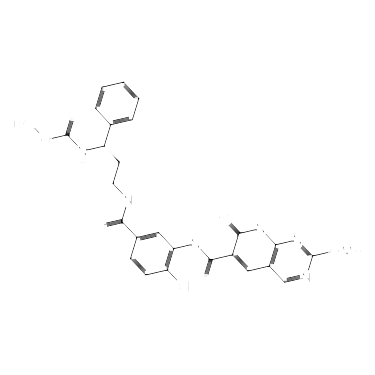 COc1ncc2cc(C(=O)Nc3cc(C(=O)NCC[C@@H](NC(=O)OC(C)(C)C)c4ccccc4)ccc3Cl)c(=O)[nH]c2n1